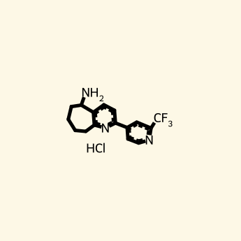 Cl.NC1CCCCc2nc(-c3ccnc(C(F)(F)F)c3)ccc21